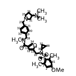 COc1cc(C)c(S(=O)(=O)N(Cc2cc(C(=O)N(C)Cc3ccc(CN4CCC(N(C)C)C4)cc3)co2)C2CC2)c(C)c1